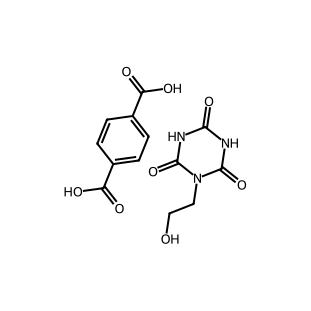 O=C(O)c1ccc(C(=O)O)cc1.O=c1[nH]c(=O)n(CCO)c(=O)[nH]1